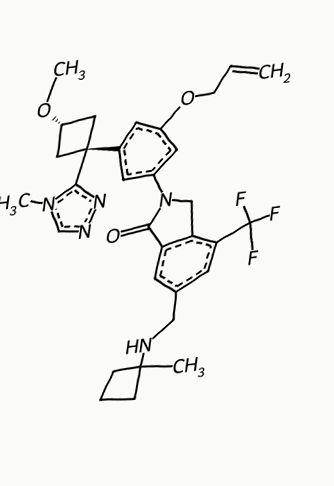 C=CCOc1cc(N2Cc3c(cc(CNC4(C)CCC4)cc3C(F)(F)F)C2=O)cc([C@]2(c3nncn3C)C[C@@H](OC)C2)c1